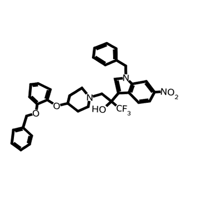 O=[N+]([O-])c1ccc2c(C(O)(CN3CCC(Oc4ccccc4OCc4ccccc4)CC3)C(F)(F)F)cn(Cc3ccccc3)c2c1